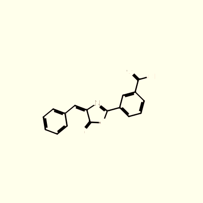 O=C1OC(c2cccc(C(=O)O)c2)=N/C1=C/c1ccccc1